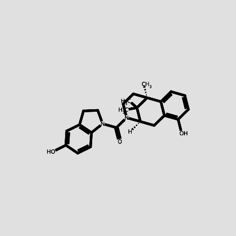 CC1(C)[C@H]2Cc3c(O)cccc3[C@]1(C)CCN2C(=O)N1CCc2cc(O)ccc21